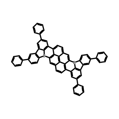 c1ccc(-c2ccc3c(c2)-c2cc(-c4ccccc4)cc4c2B3c2cc3ccc5c6c(cc7ccc-4c2c7c36)B2c3ccc(-c4ccccc4)cc3-c3cc(-c4ccccc4)cc-5c32)cc1